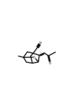 CC(=O)/C=C1\C2OC3(C)CC2CC1(C#N)C3